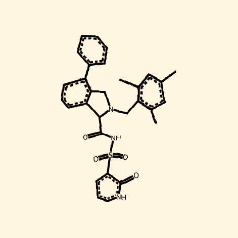 Cc1cc(C)c(CN2Cc3c(-c4ccccc4)cccc3C2C(=O)NS(=O)(=O)c2ccc[nH]c2=O)c(C)c1